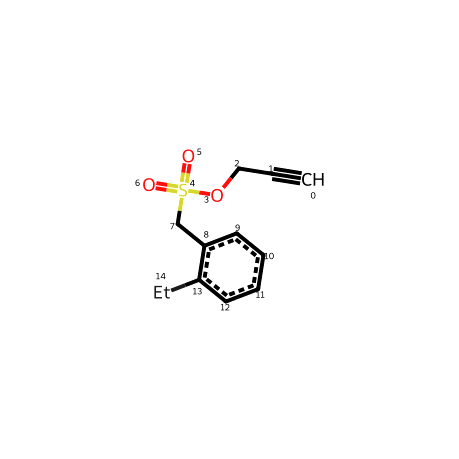 C#CCOS(=O)(=O)Cc1ccccc1CC